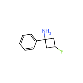 NC1(c2ccccc2)CC(F)C1